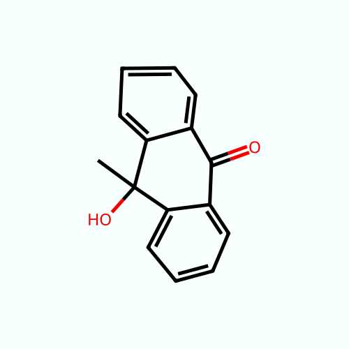 CC1(O)c2ccccc2C(=O)c2ccccc21